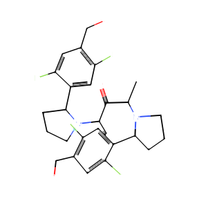 CC(C(=O)C(C)N1CCCC1c1cc(F)c(CO)cc1F)N1CCCC1c1cc(F)c(CO)cc1F